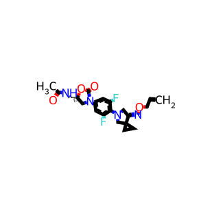 C=CCON=C1CN(c2c(F)cc(N3C[C@H](CNC(C)=O)OC3=O)cc2F)CC12CC2